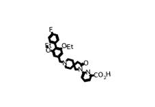 CCOc1cc(CN2CCC3(CC2)CC(=O)N(c2cccc(C(=O)O)n2)C3)cc(OCC)c1-c1ccc(F)cc1